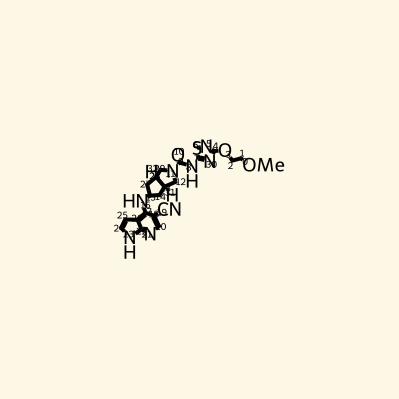 COCCOc1nsc(NC(=O)N2C[C@H]3CC(Nc4c(C#N)cnc5[nH]ccc45)C[C@H]3C2)n1